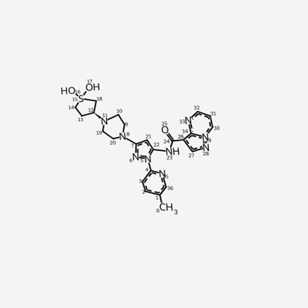 Cc1ccc(-n2nc(N3CCN([C@H]4CCS(O)(O)C4)CC3)cc2NC(=O)c2cnn3cccnc23)nc1